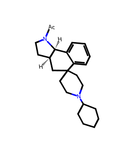 CC(=O)N1CC[C@@H]2CC3(CCN(C4CCCCC4)CC3)c3ccccc3[C@@H]21